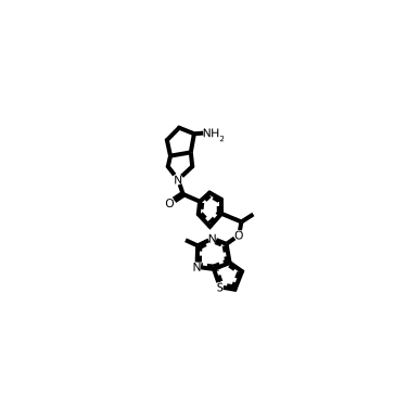 Cc1nc(OC(C)c2ccc(C(=O)N3CC4CCC(N)C4C3)cc2)c2ccsc2n1